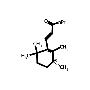 CCCC(=O)C=CC1=C(C)[C@H](C)CCC1(C)C